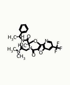 C[C@H](NC(=O)[C@@]1(C)COc2c(oc3cc(C(F)(F)F)cnc23)C(=O)N1CC(=O)N(C)C)c1ccccc1